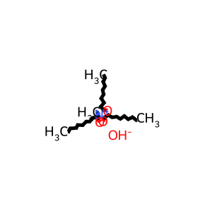 CCCCCCCCCC(=O)[N+](C)(C(=O)CCCCCCCCC)C(=O)CCCCCCCCC.[OH-]